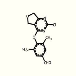 Cc1cc(C=O)cc(C)c1Oc1nc(Cl)nc2c1COC2